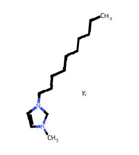 CCCCCCCCCCN1C=CN(C)C1.[K]